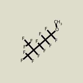 COC(F)(F)C(F)(F)C(F)(F)C(F)(C(F)(F)F)C(F)(F)F